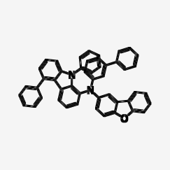 c1ccc(-c2cccc(N(c3ccc4oc5ccccc5c4c3)c3cccc4c5c(-c6ccccc6)cccc5n(-c5ccccc5)c34)c2)cc1